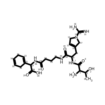 CC(O)C(N)C(=O)NC(CC1=CCN(C(=N)N)C1)C(=O)NCCCC(=O)NC(C(=O)O)C1=CCC=CC1